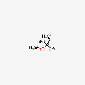 C=CC(O[SiH3])(C(C)C)C(C)C